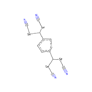 N#C[Se]C([Se]C#N)c1ccc(C([Se]C#N)[Se]C#N)cc1